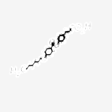 C=CCCCCCOC1CCC(C(=O)Oc2ccc(/C=C/C(=O)O)cc2)CC1